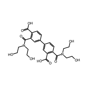 O=C(O)c1cc(-c2ccc(C(=O)O)c(C(=O)N(CCO)CCO)c2)ccc1C(=O)N(CCO)CCO